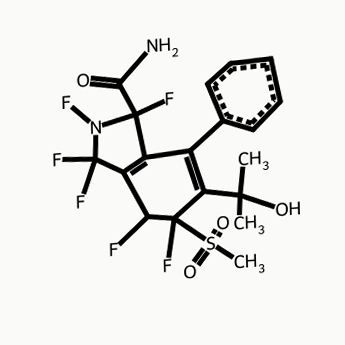 CC(C)(O)C1=C(c2ccccc2)C2=C(C(F)C1(F)S(C)(=O)=O)C(F)(F)N(F)C2(F)C(N)=O